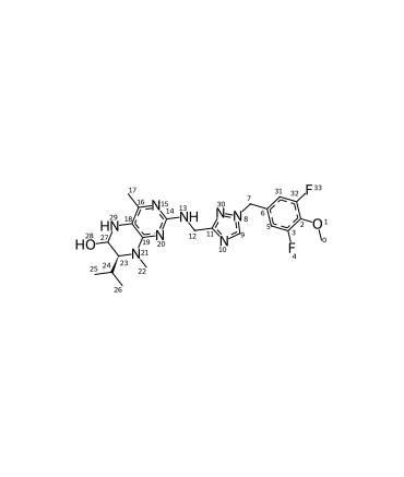 COc1c(F)cc(Cn2cnc(CNc3nc(C)c4c(n3)N(C)[C@@H](C(C)C)C(O)N4)n2)cc1F